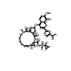 COc1ccc2c(OC3C[C@H]4C(=O)N[C@]5(C(=O)NS(=O)(=O)C6(C)CC6)C[C@H]5/C=C\CCCCN(C)C(=O)[C@@H]4C3)cc(-c3nc(C(C)C)cs3)nc2c1Cl